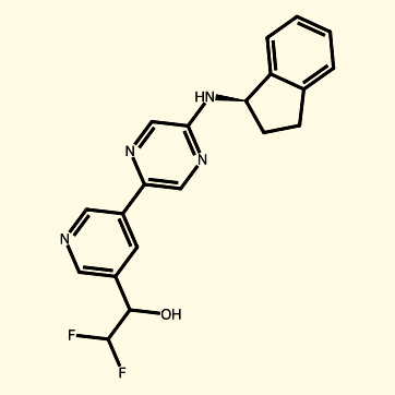 OC(c1cncc(-c2cnc(N[C@@H]3CCc4ccccc43)cn2)c1)C(F)F